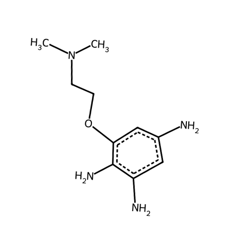 CN(C)CCOc1cc(N)cc(N)c1N